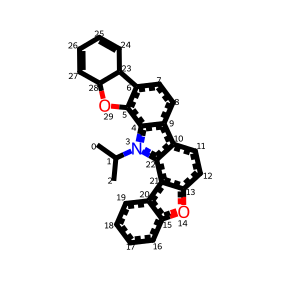 CC(C)n1c2c3c(ccc2c2ccc4oc5ccccc5c4c21)C1C=CC=CC1O3